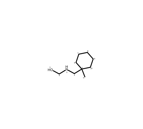 CC1(CNCO)CCCCC1